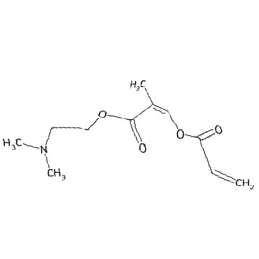 C=CC(=O)OC=C(C)C(=O)OCCN(C)C